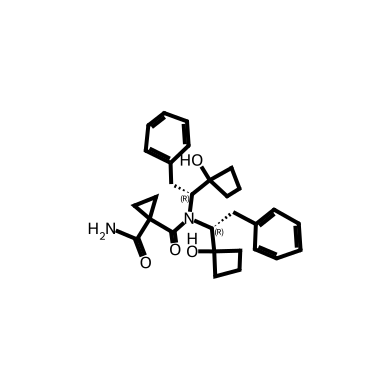 NC(=O)C1(C(=O)N([C@H](Cc2ccccc2)C2(O)CCC2)[C@H](Cc2ccccc2)C2(O)CCC2)CC1